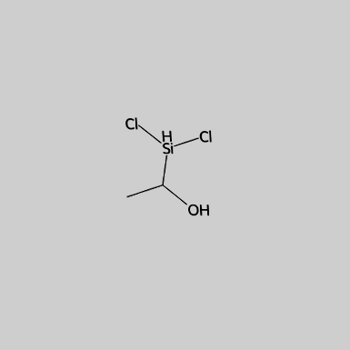 CC(O)[SiH](Cl)Cl